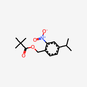 CC(C)c1ccc(COC(=O)C(C)(C)C)c([N+](=O)[O-])c1